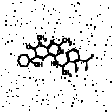 Cc1nc(N[C@H](C)c2cccc(C(F)F)c2F)c2cc(C3(O)CCCCC3)c(=O)n(C)c2n1